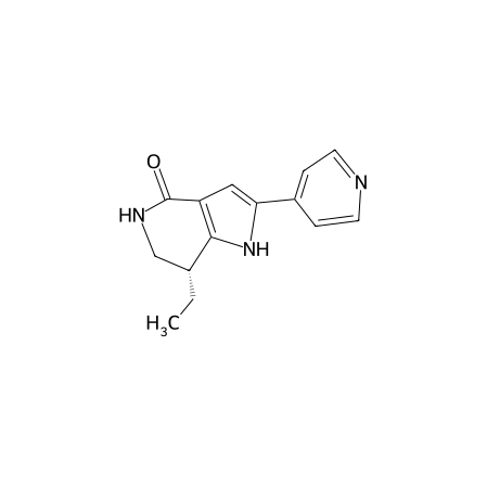 CC[C@@H]1CNC(=O)c2cc(-c3ccncc3)[nH]c21